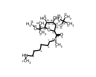 CNCCCCCCN(C)C(=O)C1O[C@@H](C(C)(C)OC)[C@@H](O)[C@@H](O)[C@@H]1OC(C)(C)C